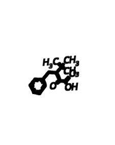 CC(C)(C)C(Cc1ccccc1)C(=O)C(=O)O